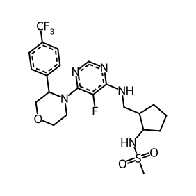 CS(=O)(=O)NC1CCCC1CNc1ncnc(N2CCOCC2c2ccc(C(F)(F)F)cc2)c1F